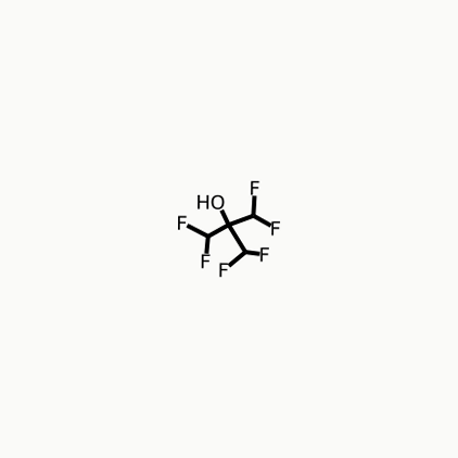 OC(C(F)F)(C(F)F)C(F)F